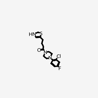 O=C(CCCC1=CNCS1)N1CCN(c2ccc(F)cc2Cl)CC1